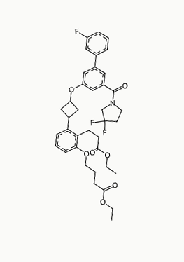 CCOC(=O)CCCOc1cccc(C2CC(Oc3cc(C(=O)N4CCC(F)(F)C4)cc(-c4cccc(F)c4)c3)C2)c1CCC(=O)OCC